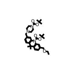 CCOCc1ccc2c(c1)N(C(=O)OC(C)(C)C)c1cc(CN3CCN(C(=O)OC(C)(C)C)CC3)ccc1C2(C)C